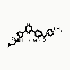 COc1cc(-c2cncc(-c3cc(NC(=O)CC4CC4)cs3)n2)ccc1C(=O)N1CCN(C)CC1